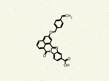 C=Cc1ccc(COc2cc3cccc4c(=O)n5c6ccc(C(=O)O)cc6nc5c(c2)c34)cc1